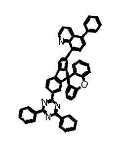 c1ccc(-c2nc(-c3ccccc3)nc(-c3ccc4c(c3)C3(c5ccccc5Oc5ccccc53)c3cc(-c5ccc(-c6ccccc6)c6cccnc56)ccc3-4)n2)cc1